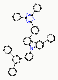 c1ccc(-c2cc(-c3ccccc3)cc(-c3cccc(-n4c5ccc(-c6ccccc6)cc5c5c(-c6cccc(-c7nc(-c8ccccc8)nc(-c8ccccc8)n7)c6)cccc54)c3)c2)cc1